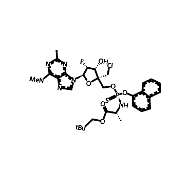 CNc1nc(C)nc2c1ncn2[C@@H]1O[C@](CCl)(CO[P@](=S)(N[C@H](C)C(=O)OCC(C)(C)C)Oc2cccc3ccccc23)[C@@H](O)[C@H]1F